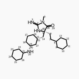 CN1C(=N)N[C@](CCC2CCCCC2)(C[C@H]2CCC[C@@H](NC3CCCCC3)C2)C1=O